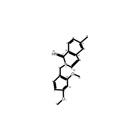 COc1ccc(Cn2ccc3cc(C)ccc3c2=N)c(OC)c1